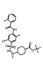 Cc1cc(S(=O)(=O)N[C@H](C)C2CCN(C(=O)OC(C)(C)C)CC2)c(Cl)cc1NC(=O)c1ccccc1C